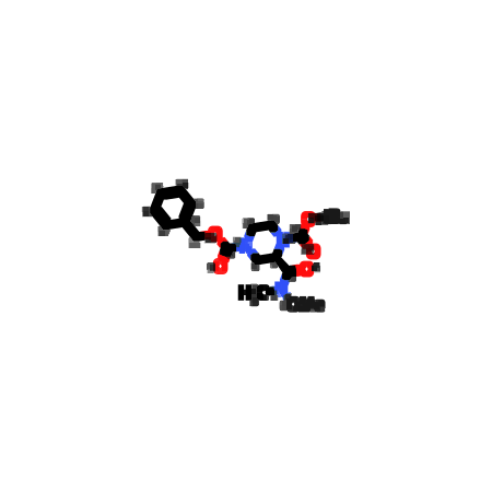 CON(C)C(=O)[C@H]1CN(C(=O)OCc2ccccc2)CCN1C(=O)OC(C)(C)C